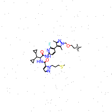 CSCCCn1nccc1C(=O)N[C@H](C(=O)Nc1ccc(-c2c(C)nn(COCC[Si](C)(C)C)c2C)c(F)n1)C(C1CC1)C1CC1